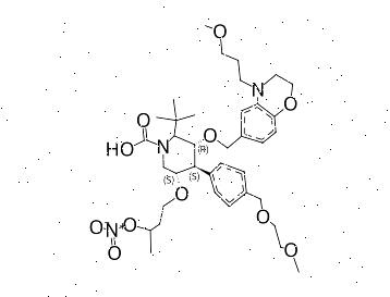 COCCCN1CCOc2ccc(CO[C@H]3C(C(C)(C)C)N(C(=O)O)C[C@@H](OCCC(C)O[N+](=O)[O-])[C@@H]3c3ccc(COCCOC)cc3)cc21